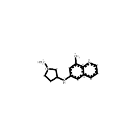 Cc1cc(NC2CCN(C(=O)O)C2)cc2cccnc12